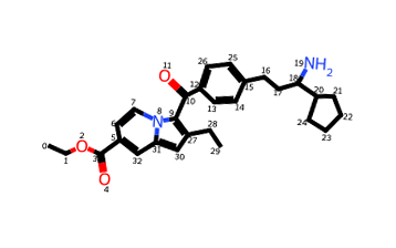 CCOC(=O)c1ccn2c(C(=O)c3ccc(CCC(N)C4CCCC4)cc3)c(CC)cc2c1